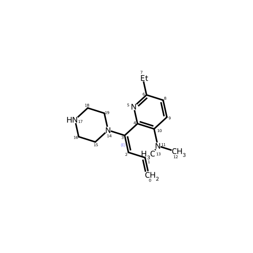 C=C/C=C(\c1nc(CC)ccc1N(C)C)N1CCNCC1